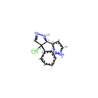 ClC1(c2ccccc2)[C]=NN=C1c1cc[nH]n1